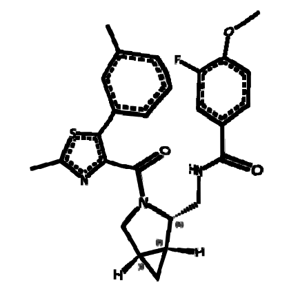 COc1ccc(C(=O)NC[C@@H]2[C@@H]3C[C@@H]3CN2C(=O)c2nc(C)sc2-c2cccc(C)c2)cc1F